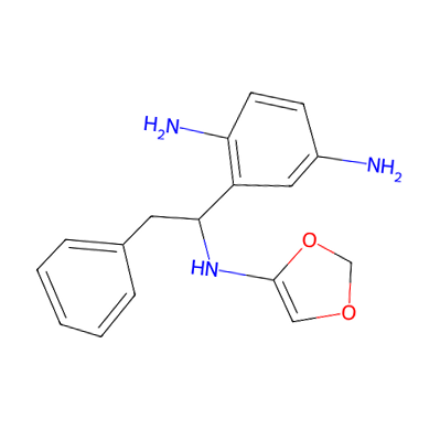 Nc1ccc(N)c(C(Cc2ccccc2)NC2=COCO2)c1